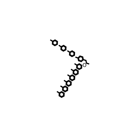 CC(=O)Cc1ccc(C)cc1.Cc1ccccc1.Cc1ccccc1.Cc1ccccc1.Cc1ccccc1.Cc1ccccc1.Cc1ccccc1.Cc1ccccc1.Cc1ccccc1.Cc1ccccc1